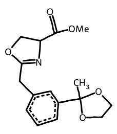 COC(=O)C1COC(Cc2cccc(C3(C)OCCO3)c2)=N1